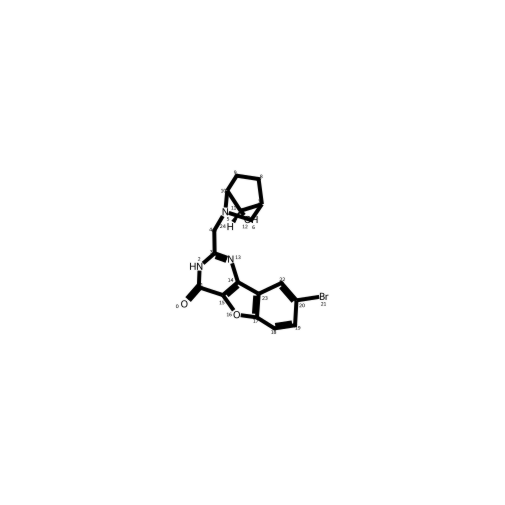 O=c1[nH]c(CN2CC3CCC2[C@H]3O)nc2c1oc1ccc(Br)cc12